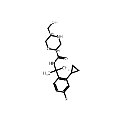 CC(C)(NC(=O)[C@@H]1CN[C@H](CO)CO1)c1ccc(F)cc1C1CC1